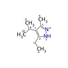 CCc1[nH]nc(C)c1C(C)C